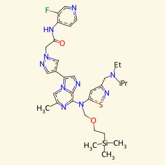 CCN(Cc1cc(N(COCC[Si](C)(C)C)c2nc(C)cn3c(-c4cnn(CC(=O)Nc5ccncc5F)c4)cnc23)sn1)C(C)C